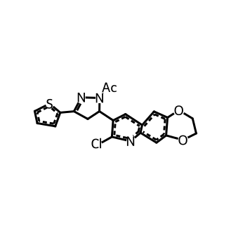 CC(=O)N1N=C(c2cccs2)CC1c1cc2cc3c(cc2nc1Cl)OCCO3